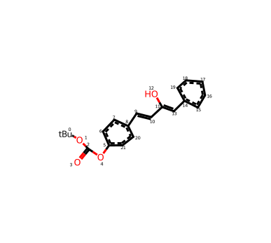 CC(C)(C)OC(=O)Oc1ccc(C=CC(O)=Cc2ccccc2)cc1